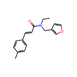 CCN(Cc1ccoc1)C(=O)/C=C/c1ccc(C)cc1